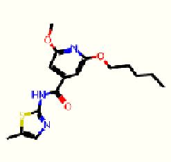 CCCCCOc1cc(C(=O)Nc2ncc(C)s2)cc(OC)n1